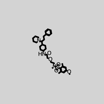 COc1cc(C)c(S(=O)(=O)N(C)CCOCC(=O)NC2CCC(C(CCc3ccccc3)N3CCCCC3)CC2)c(C)c1